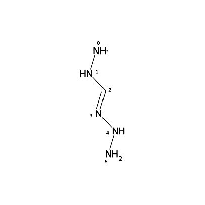 [NH]NC=NNN